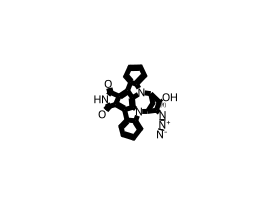 [N-]=[N+]=NC1C2CC([C@H]1O)n1c3ccccc3c3c4c(c5c6ccccc6n2c5c31)C(=O)NC4=O